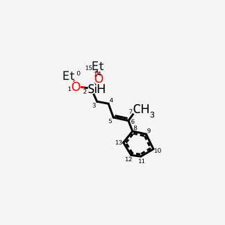 CCO[SiH](CCC=C(C)c1ccccc1)OCC